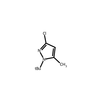 Cc1cc(Cl)nn1C(C)(C)C